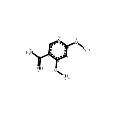 COc1cc(OC)c(C(=N)N)cn1